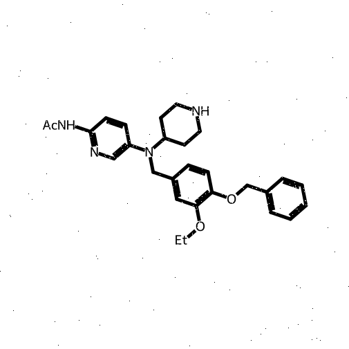 CCOc1cc(CN(c2ccc(NC(C)=O)nc2)C2CCNCC2)ccc1OCc1ccccc1